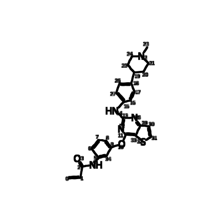 C=CC(=O)Nc1cccc(Oc2nc(Nc3ccc(C4CCN(C)CC4)cc3)nc3ccsc23)c1